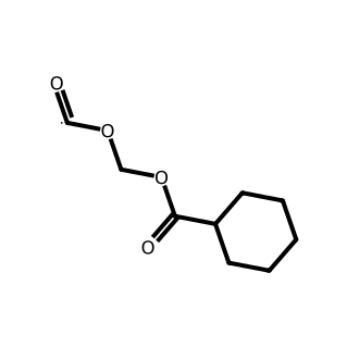 O=[C]OCOC(=O)C1CCCCC1